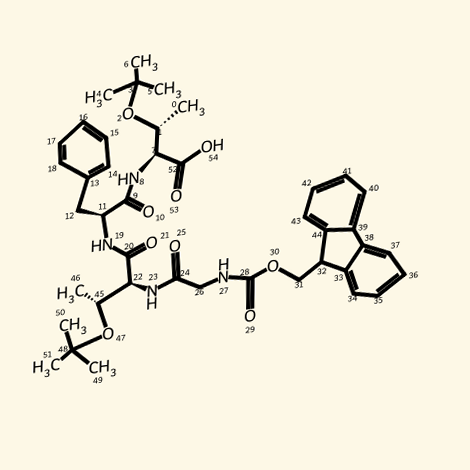 C[C@@H](OC(C)(C)C)[C@H](NC(=O)[C@H](Cc1ccccc1)NC(=O)[C@@H](NC(=O)CNC(=O)OCC1c2ccccc2-c2ccccc21)[C@@H](C)OC(C)(C)C)C(=O)O